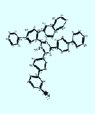 N#Cc1cccc(-c2ccc(-c3nc(-c4ccc(-c5ccccc5)cc4)nc(-c4cc(-c5ccccc5)ccc4-c4ccc5ccccc5c4)n3)cc2)c1